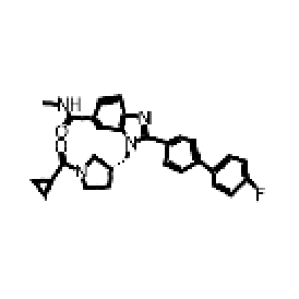 CNC(=O)c1ccc2nc(-c3ccc(-c4ccc(F)cc4)cc3)n(C[C@@H]3CCN(C(=O)C4CC4)C3)c2c1